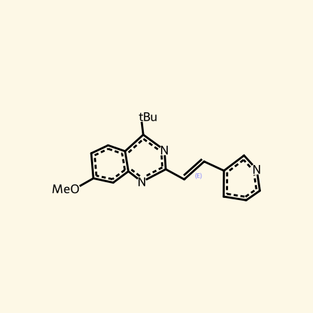 COc1ccc2c(C(C)(C)C)nc(/C=C/c3cccnc3)nc2c1